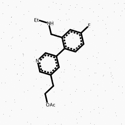 CCNCc1cc(F)ccc1-c1cncc(CCOC(C)=O)c1